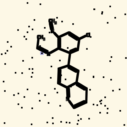 C=Nc1cc(Cl)cc(-c2ccc3ncccc3c2)c1/N=C\C